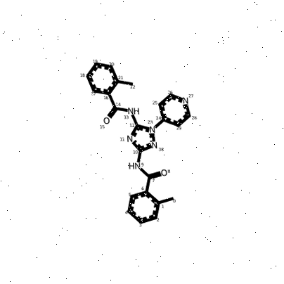 Cc1ccccc1C(=O)Nc1nc(NC(=O)c2ccccc2C)n(-c2ccncc2)n1